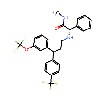 CNC(=O)[C@@H](NCC[C@@H](c1ccc(C(F)(F)F)cc1)c1cccc(OC(F)(F)F)c1)c1ccccc1